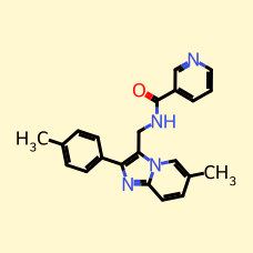 Cc1ccc(-c2nc3ccc(C)cn3c2CNC(=O)c2cccnc2)cc1